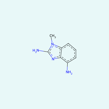 Cn1c(N)nc2c(N)cccc21